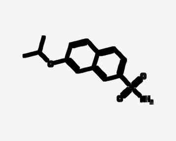 CC(C)Oc1ccc2ccc(S(N)(=O)=O)cc2c1